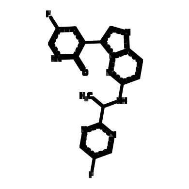 CC(Nc1ccc2ncc(-c3cc(F)c[nH]c3=O)n2n1)c1ncc(F)cn1